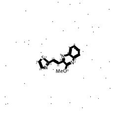 COc1nc2ccccc2nc1/C=C/c1nccs1